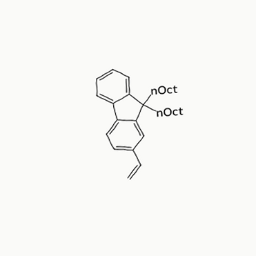 C=Cc1ccc2c(c1)C(CCCCCCCC)(CCCCCCCC)c1ccccc1-2